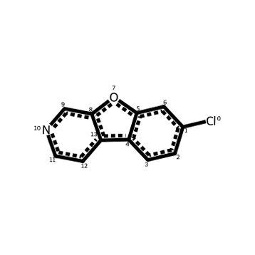 Clc1ccc2c(c1)oc1cnccc12